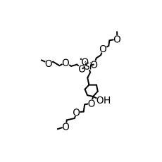 COCCOCCOC1(O)CCC(CC[Si](OC)(OCCOCCOC)OCCOCCOC)CC1